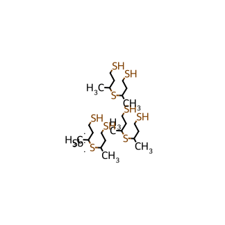 CC(CCS)SC(C)CCS.CC(CCS)SC(C)CCS.CC(CCS)SC(C)CCS.[Sb]